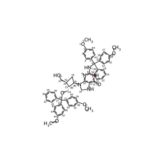 COc1ccc(C(Nc2nc3c(c(=O)[nH]2)NCN3[C@@H]2C[C@H](CO)[C@H]2COC(c2ccccc2)(c2ccc(OC)cc2)c2ccc(OC)cc2)(c2ccccc2)c2ccc(OC)cc2)cc1